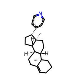 C[C@]12CC[C@H]3[C@@H](CCC4=CCCC[C@@]43C)[C@@H]1CC[C@@H]2c1ccncc1